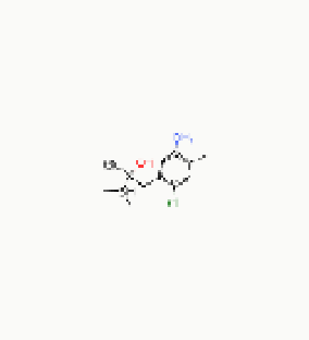 Cc1cc(Cl)c(CC(O)([SiH](C)C)C(C)(C)C)cc1N